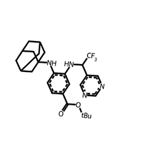 CC(C)(C)OC(=O)c1ccc(NC23CC4CC(CC(C4)C2)C3)c(NC(c2cncnc2)C(F)(F)F)c1